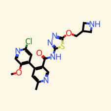 COc1cnc(Cl)cc1-c1cc(C)ncc1C(=O)Nc1nnc(OCC2CNC2)s1